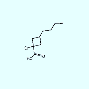 CCCCC1CC(Cl)(C(=O)O)C1